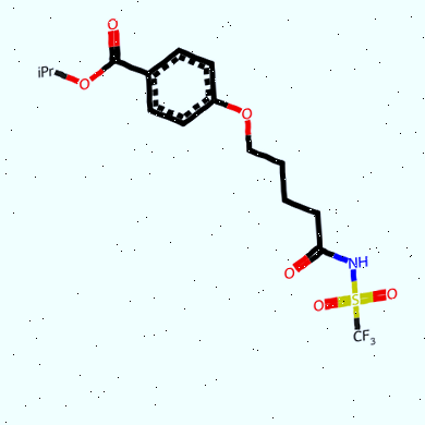 CC(C)OC(=O)c1ccc(OCCCCC(=O)NS(=O)(=O)C(F)(F)F)cc1